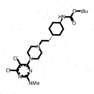 CNc1nc(Cl)c(Cl)c(N2CCN(CC[C@H]3CC[C@H](NC(=O)OC(C)(C)C)CC3)CC2)n1